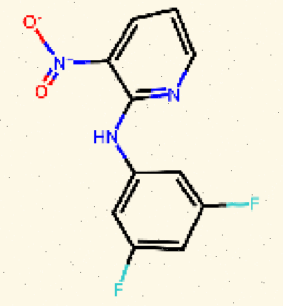 O=[N+]([O-])c1cccnc1Nc1cc(F)cc(F)c1